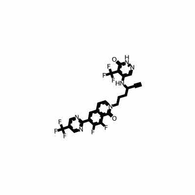 C#CC(CCCn1ccc2cc(-c3ncc(C(F)(F)F)cn3)c(F)c(F)c2c1=O)Nc1cn[nH]c(=O)c1C(F)(F)F